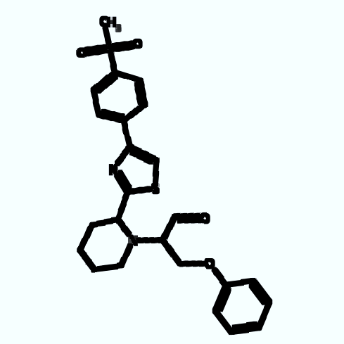 CS(=O)(=O)c1ccc(-c2csc(C3CCCCN3C(C=O)COc3ccccc3)n2)cc1